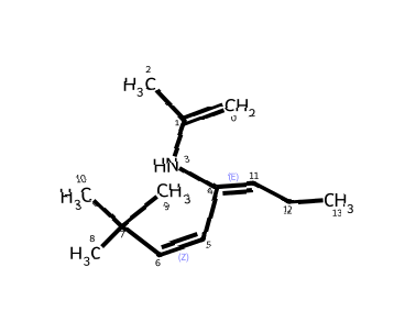 C=C(C)NC(/C=C\C(C)(C)C)=C/CC